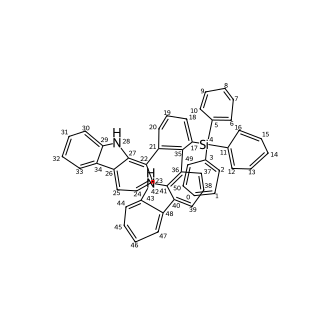 c1ccc([Si](c2ccccc2)(c2ccccc2)c2cccc(-c3cccc4c3[nH]c3ccccc34)c2-c2cccc3c2[nH]c2ccccc23)cc1